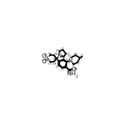 CC1CCN(c2cc(C3(N4CCCC4)CCS(=O)(=O)CC3)ccc2C(N)=O)CC1